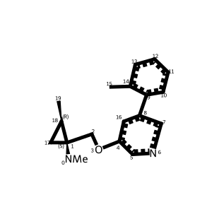 CN[C@@]1(COc2cncc(-c3ccccc3C)c2)C[C@H]1C